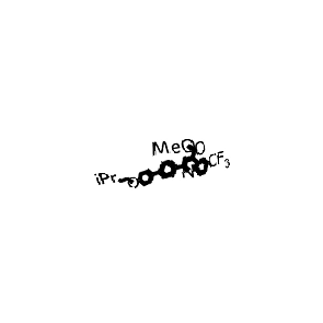 COC(=O)c1cc(-c2ccc(-c3ccc(OCCC(C)C)cc3)cc2)nc2ccc(C(F)(F)F)cc12